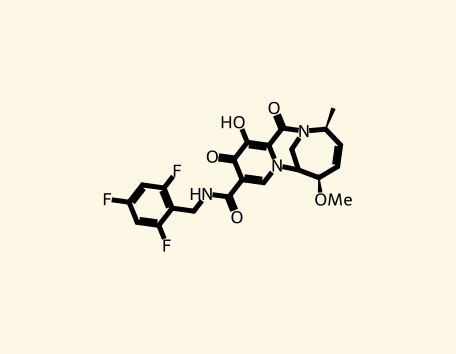 CO[C@@H]1C=C[C@H](C)N2CC1n1cc(C(=O)NCc3c(F)cc(F)cc3F)c(=O)c(O)c1C2=O